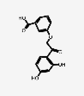 O=C(O)c1cccc(OCC(=O)c2ccc(O)cc2O)c1